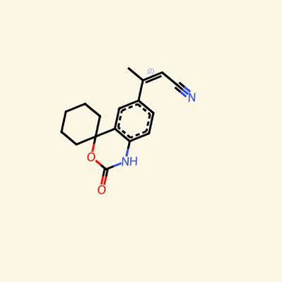 C/C(=C/C#N)c1ccc2c(c1)C1(CCCCC1)OC(=O)N2